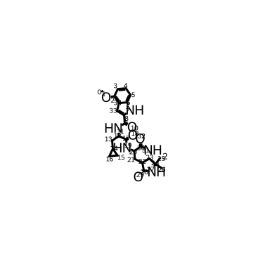 COc1cccc2[nH]c(C(=O)NC(CC3CC3)C(=O)NC(CC3CC(C)(C)NC3=O)C(N)=O)cc12